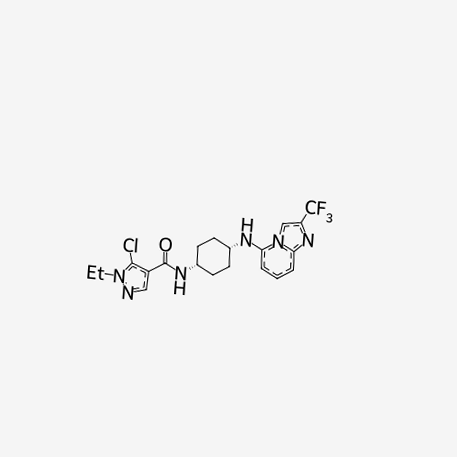 CCn1ncc(C(=O)N[C@H]2CC[C@@H](Nc3cccc4nc(C(F)(F)F)cn34)CC2)c1Cl